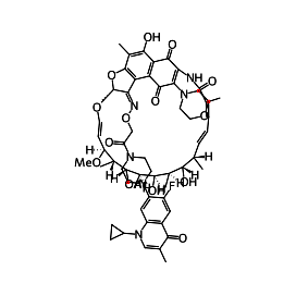 CO[C@H]1/C=C/O[C@@]2(C)Oc3c(C)c(O)c4c(c3/C2=N/OCC(=O)N2CCN(c3cc5c(cc3F)c(=O)c(C)cn5C3CC3)CC2)C(=O)C(N2CCOCC2)=C(NC(=O)/C(C)=C\C=C\[C@H](C)[C@H](O)[C@@H](C)[C@@H](O)[C@@H](C)[C@H](OC(C)=O)[C@@H]1C)C4=O